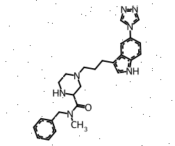 CN(Cc1ccccc1)C(=O)C1CN(CCCc2c[nH]c3ccc(-n4cnnc4)cc23)CCN1